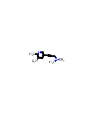 Cc1ncc(C#CCN(C)C)cc1[N+](=O)[O-]